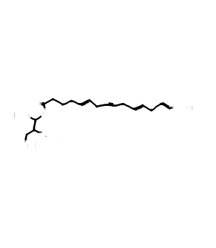 CCCCCC=CCC=CCC=CCC=CCCCC(=O)OC(O)C(N)CO